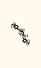 O=C(/C=C\C(=O)NCc1ccc2c(c1)OCO2)NCc1ccc2c(c1)OCO2